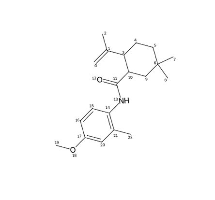 C=C(C)C1CCC(C)(C)CC1C(=O)Nc1ccc(OC)cc1C